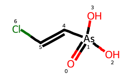 O=[As](O)(O)C=CCl